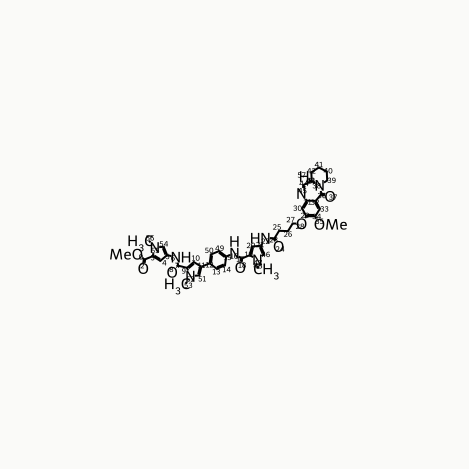 COC(=O)c1cc(NC(=O)c2cc(-c3ccc(NC(=O)c4cc(NC(=O)CCCOc5cc6c(cc5OC)C(=O)N5CCCC[C@H]5C=N6)cn4C)cc3)cn2C)cn1C